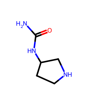 NC(=O)NC1CCNC1